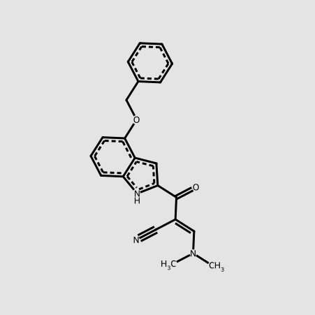 CN(C)C=C(C#N)C(=O)c1cc2c(OCc3ccccc3)cccc2[nH]1